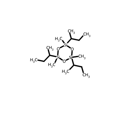 CCC(C)[Si]1(C)O[Si](C)(C(C)CC)O[Si](C)(C(C)CC)O1